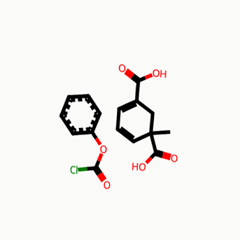 CC1(C(=O)O)C=CC=C(C(=O)O)C1.O=C(Cl)Oc1ccccc1